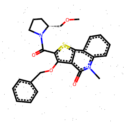 COC[C@H]1CCCN1C(=O)c1sc2c(c1OCc1ccccc1)c(=O)n(C)c1ccccc21